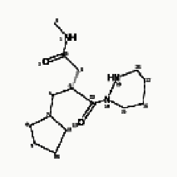 CNC(=O)C[C@@H](CC1CCCC1)C(=O)N1CCCCN1